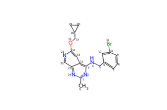 Cc1nc(NCc2cccc(Br)c2)c2cc(OCC3CC3)ncc2n1